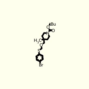 CC1(COCSc2ccc(Br)cc2)CCN(C(=O)OC(C)(C)C)CC1